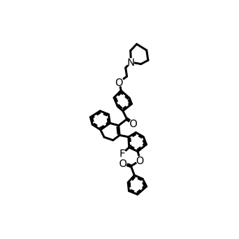 O=C(Oc1cccc(C2=C(C(=O)c3ccc(OCCN4CCCCC4)cc3)c3ccccc3CC2)c1F)c1ccccc1